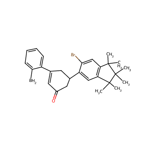 Bc1ccccc1C1=CC(=O)CC(c2cc3c(cc2Br)C(C)(C)C(C)(C)C3(C)C)C1